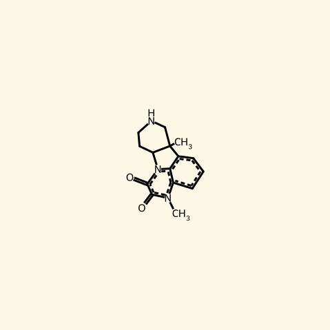 Cn1c(=O)c(=O)n2c3c(cccc31)C1(C)CNCCC21